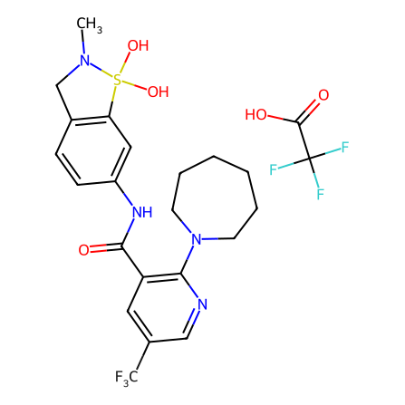 CN1Cc2ccc(NC(=O)c3cc(C(F)(F)F)cnc3N3CCCCCC3)cc2S1(O)O.O=C(O)C(F)(F)F